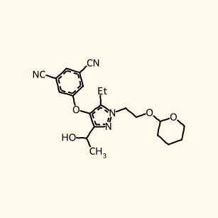 CCc1c(Oc2cc(C#N)cc(C#N)c2)c(C(C)O)nn1CCOC1CCCCO1